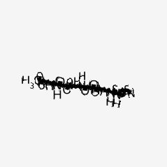 CC(=O)N(O)CCCCCNC(=O)CCC(=O)N(O)CCCCCNC(=O)CCC(=O)N(O)CCCCCNC(=S)Nc1ccc(SC#N)cc1